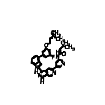 CC(C)CC(=O)Nc1cncc(-c2cc3c(-c4cc5c(-c6cc(F)cc(OCCN(C)C)c6)cccc5[nH]4)n[nH]c3cn2)c1